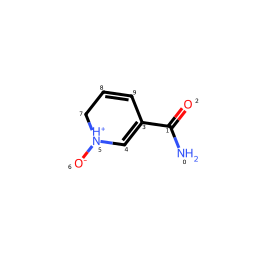 NC(=O)C1=C[NH+]([O-])CC=C1